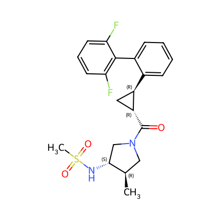 C[C@@H]1CN(C(=O)[C@@H]2C[C@H]2c2ccccc2-c2c(F)cccc2F)C[C@H]1NS(C)(=O)=O